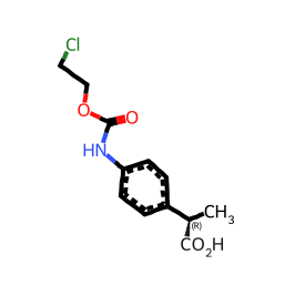 C[C@@H](C(=O)O)c1ccc(NC(=O)OCCCl)cc1